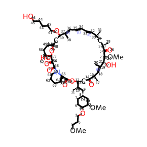 COCCCO[C@@H]1CC[C@@H](C[C@@H](C)[C@@H]2CC(=O)[C@H](C)/C=C(\C)[C@@H](O)[C@@H](OC)C(=O)[C@H](C)C[C@H](C)/C=C/C=C/C=C(\C)C(OCCCCCO)C[C@@H]3CC[C@@H](C)[C@@](O)(O3)C(=O)C(=O)N3CCCC[C@H]3C(=O)O2)C[C@H]1OC